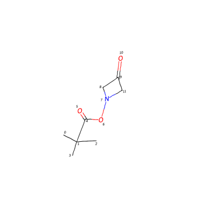 CC(C)(C)C(=O)ON1CC(=O)C1